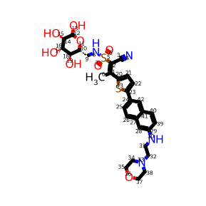 C/C(=C(/C#N)S(=O)(=O)NC[C@H]1OC(O)[C@H](O)[C@@H](O)[C@@H]1O)c1ccc(-c2ccc3cc(NCCN4CCOCC4)ccc3c2)s1